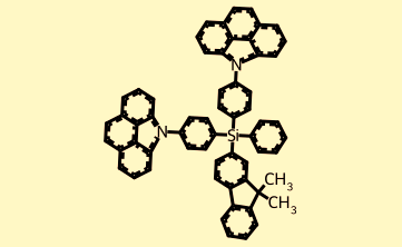 CC1(C)c2ccccc2-c2ccc([Si](c3ccccc3)(c3ccc(-n4c5cccc6ccc7cccc4c7c65)cc3)c3ccc(-n4c5cccc6ccc7cccc4c7c65)cc3)cc21